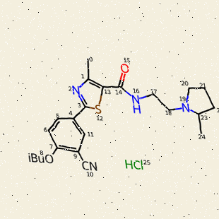 Cc1nc(-c2ccc(OCC(C)C)c(C#N)c2)sc1C(=O)NCCN1CCCC1C.Cl